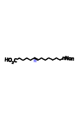 CCCCCCCCCCCCCCC/C=C/CCCCC(=O)O